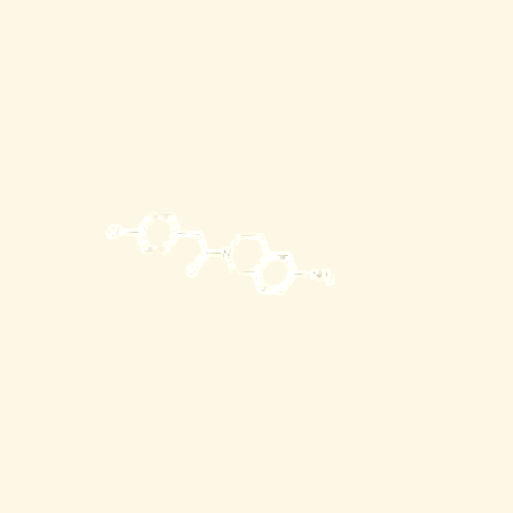 Nc1ccc2c(c1)CCN(C(=O)Cc1ccc(Cl)cc1)C2